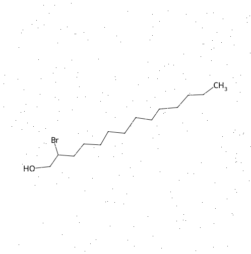 CCCCCCCCCCCCC(Br)CO